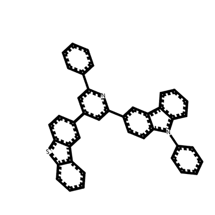 c1ccc(-c2cc(-c3ccc4sc5ccccc5c4c3)cc(-c3ccc4c(c3)c3ccccc3n4-c3ccccc3)n2)cc1